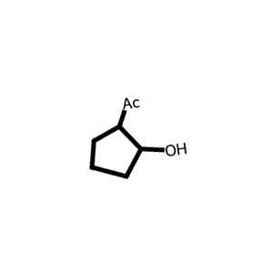 CC(=O)C1CCCC1O